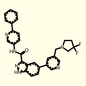 O=C(Nc1ccc(-c2ccccc2)nc1)c1n[nH]c2ccc(-c3cncc(CN4CCC(F)(F)C4)c3)cc12